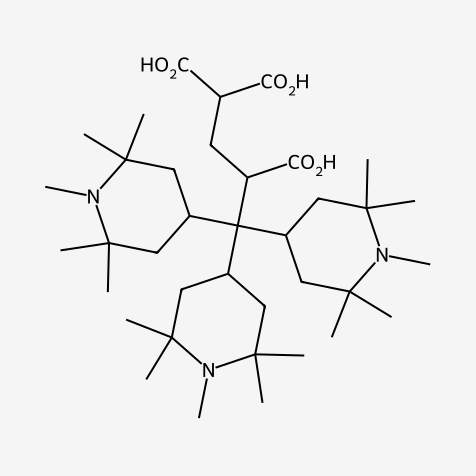 CN1C(C)(C)CC(C(C2CC(C)(C)N(C)C(C)(C)C2)(C2CC(C)(C)N(C)C(C)(C)C2)C(CC(C(=O)O)C(=O)O)C(=O)O)CC1(C)C